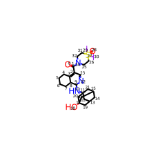 O=C(C1=C2CCCCC2C(NC23CC4CC(CC(O)(C4)C2)C3)N=C1)N1CCS(=O)(I)(I)CC1